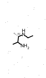 CCN[C@@H](C)C(C)N